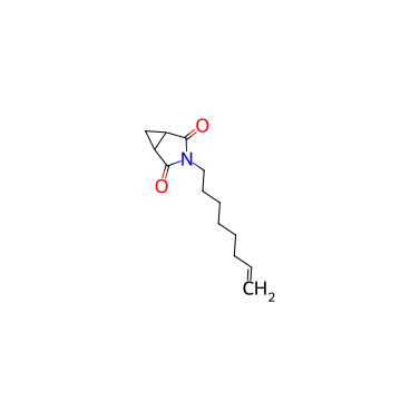 C=CCCCCCCN1C(=O)C2CC2C1=O